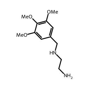 COc1cc(CNCCN)cc(OC)c1OC